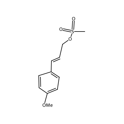 COc1ccc(C=CCOS(C)(=O)=O)cc1